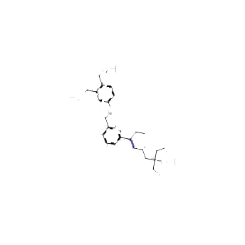 CC/C(=C\CCC(O)(CC)CC)c1cccc(COc2ccc(CO)c(CO)c2)n1